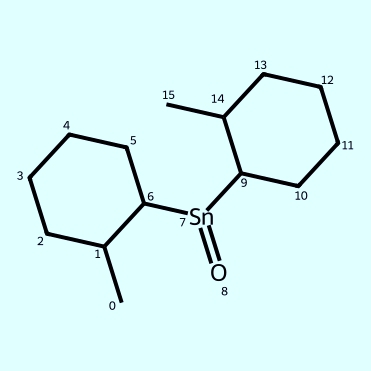 CC1CCCC[CH]1[Sn](=[O])[CH]1CCCCC1C